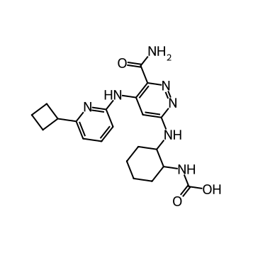 NC(=O)c1nnc(NC2CCCCC2NC(=O)O)cc1Nc1cccc(C2CCC2)n1